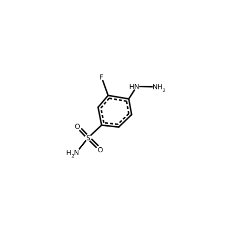 NNc1ccc(S(N)(=O)=O)cc1F